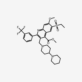 CCS(=O)(=O)c1cc2c(C(=O)OC)c(CN3CCC(N4CCCCC4)CC3)c(-c3cccc(C(F)(F)F)c3)nc2cc1OC